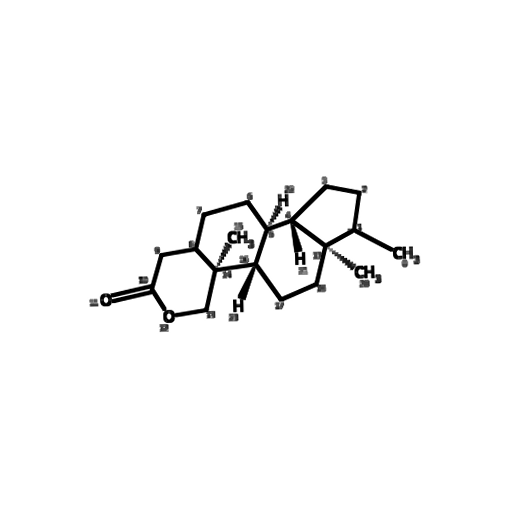 C[C]1CC[C@H]2[C@@H]3CCC4CC(=O)OC[C@]4(C)[C@H]3CC[C@]12C